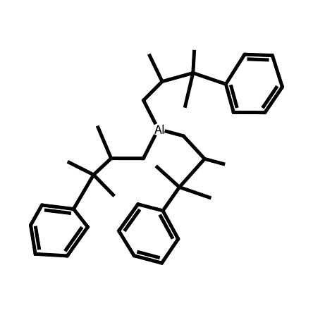 CC([CH2][Al]([CH2]C(C)C(C)(C)c1ccccc1)[CH2]C(C)C(C)(C)c1ccccc1)C(C)(C)c1ccccc1